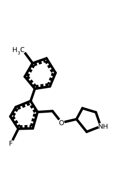 Cc1cccc(-c2ccc(F)cc2COC2CCNC2)c1